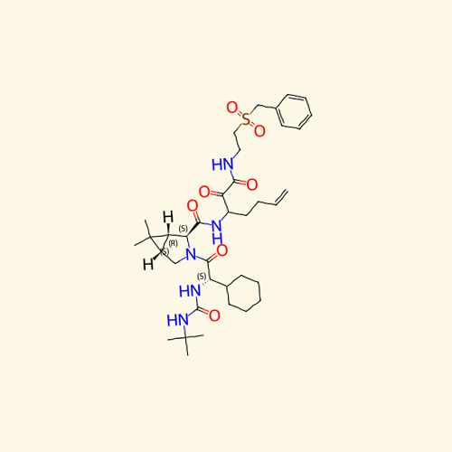 C=CCCC(NC(=O)[C@@H]1[C@@H]2[C@H](CN1C(=O)[C@@H](NC(=O)NC(C)(C)C)C1CCCCC1)C2(C)C)C(=O)C(=O)NCCS(=O)(=O)Cc1ccccc1